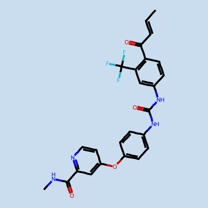 C/C=C/C(=O)c1ccc(NC(=O)Nc2ccc(Oc3ccnc(C(=O)NC)c3)cc2)cc1C(F)(F)F